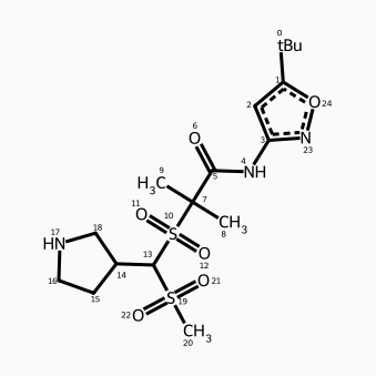 CC(C)(C)c1cc(NC(=O)C(C)(C)S(=O)(=O)C(C2CCNC2)S(C)(=O)=O)no1